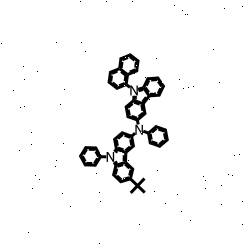 CC(C)(C)c1ccc2c(c1)c1cc(N(c3ccccc3)c3ccc4c(c3)c3ccccc3n4-c3cccc4ccccc34)ccc1n2-c1ccccc1